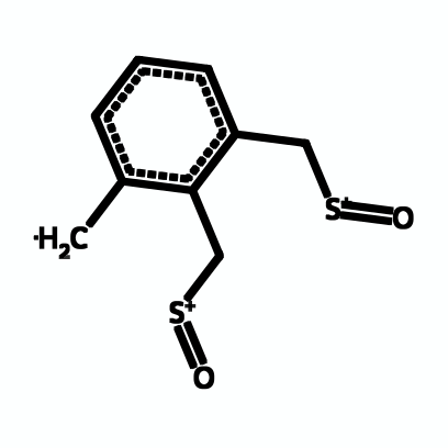 [CH2]c1cccc(C[S+]=O)c1C[S+]=O